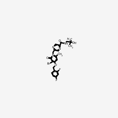 Cc1cc(OCc2ccc(F)cc2F)c(Br)c(=O)n1Cc1cnc(C(=O)NCC(C)(C)O)cn1